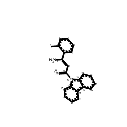 Cc1ccccc1/C(N)=C/C(=N)n1c2ccccc2c2ccccc21